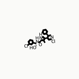 Cc1c(-c2cc(Cl)ncc2-c2ccccc2)c[nH]c1C(=O)N[C@H](CO)c1cccc(Cl)c1